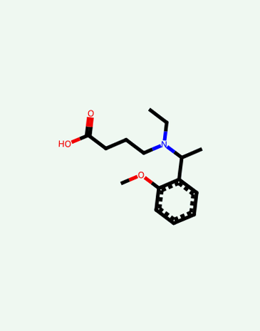 CCN(CCCC(=O)O)C(C)c1ccccc1OC